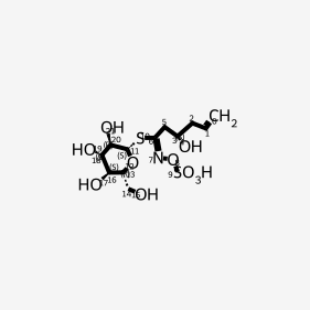 C=CC[C@H](O)CC(=NOS(=O)(=O)O)S[C@@H]1O[C@H](CO)[C@@H](O)[C@H](O)[C@H]1O